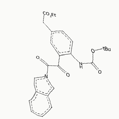 CCOC(=O)Cc1ccc(NC(=O)OC(C)(C)C)c(C(=O)C(=O)n2cc3ccccc3c2)c1